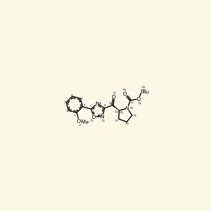 COc1ccccc1-c1nc(C(=O)[C@@H]2CCCN2C(=O)OC(C)(C)C)no1